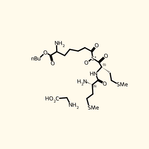 CCCCOC(=O)C(N)CCCCC(=O)[S+]([O-])C(=O)[C@H](CCSC)NC(=O)[C@@H](N)CCSC.NCC(=O)O